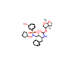 O=C(N[C@@H](Cc1ccccc1)[C@H](O)CN(OC1CCCC1)S(=O)(=O)c1cccc(O)c1)OC1CO[C@H]2OCC[C@@H]12